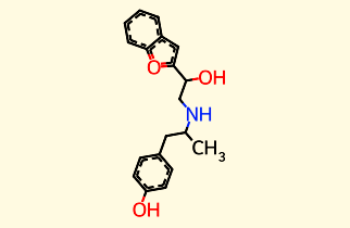 CC(Cc1ccc(O)cc1)NCC(O)c1cc2ccccc2o1